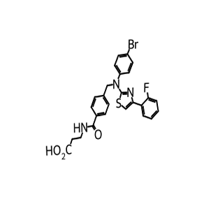 O=C(O)CCNC(=O)c1ccc(CN(c2ccc(Br)cc2)c2nc(-c3ccccc3F)cs2)cc1